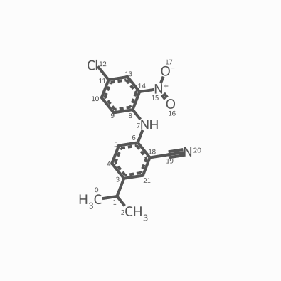 CC(C)c1ccc(Nc2ccc(Cl)cc2[N+](=O)[O-])c(C#N)c1